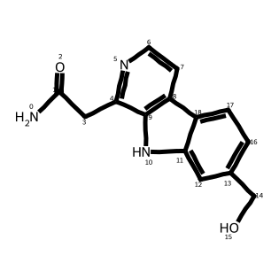 NC(=O)Cc1nccc2c1[nH]c1cc(CO)ccc12